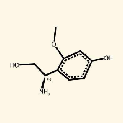 COc1cc(O)ccc1[C@@H](N)CO